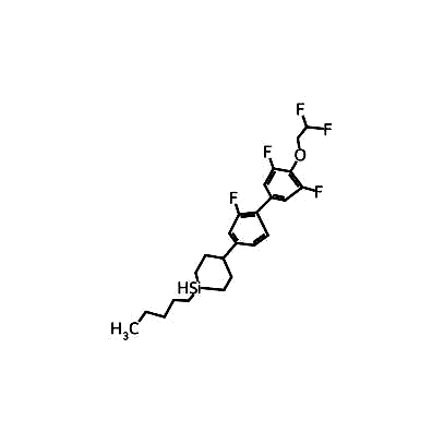 CCCCC[SiH]1CCC(c2ccc(-c3cc(F)c(OCC(F)F)c(F)c3)c(F)c2)CC1